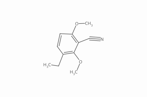 CCc1ccc(OC)c(C#N)c1OC